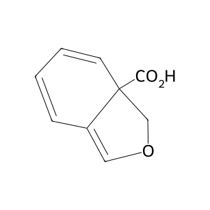 O=C(O)C12C=CC=CC1=COC2